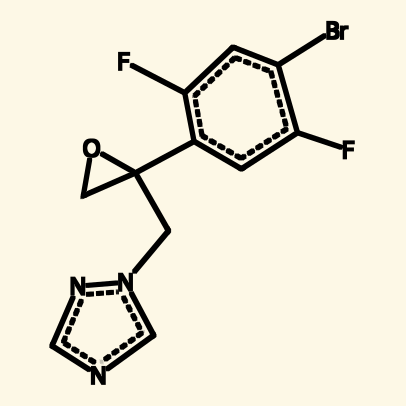 Fc1cc(C2(Cn3cncn3)CO2)c(F)cc1Br